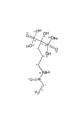 C=CC(=O)NCCCC(O)(P(=O)(O)O)P(=O)(O)O